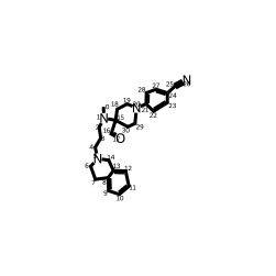 CN(CCCN1CCc2ccccc2C1)C1(C=O)CCN(c2ccc(C#N)cc2)CC1